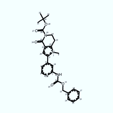 Cn1c(-c2ccnc(NC(=O)OCc3ccccc3)c2)cc2c1CCN(C(=O)OC(C)(C)C)C2=O